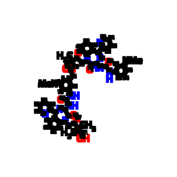 CNc1cc(CCCC(C)(CO)C(=O)CN2C(=O)C(NC(=O)Nc3cccc(NC)c3)N=C(c3ccccn3)c3ccccc32)cc(NC(=O)NC2N=C(c3ccccn3)c3ccccc3N(CC(=O)C(C)(C)CO)C2=O)c1